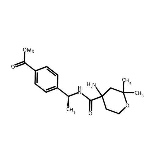 COC(=O)c1ccc([C@H](C)NC(=O)C2(N)CCOC(C)(C)C2)cc1